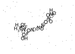 C[C@@H]1Cc2cc(O)ccc2[C@@H](c2c(F)cc(N3CCC4(CCN(CC(=O)N5Cc6cc7c(cc6C5)C(=O)N(C5CCC(=O)NC5=O)C7)C4)CC3)cc2F)N1CC(C)(F)F